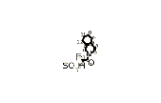 O=C(C(F)S(=O)(=O)O)N1CCC2CCCCC2C1